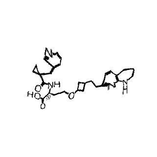 O=C(O)[C@H](CCOC1CC(CCc2ccc3c(n2)NCCC3)C1)NC(=O)C1(Cc2cccnc2)CC1